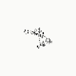 N/C(=N\C(=O)OCc1ccccc1)N(CCCC1C(=O)NC1C(=O)O)C(=O)OCc1ccccc1